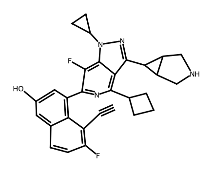 C#Cc1c(F)ccc2cc(O)cc(-c3nc(C4CCC4)c4c(C5C6CNCC65)nn(C5CC5)c4c3F)c12